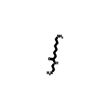 NCCCCCCC(=O)NCCN